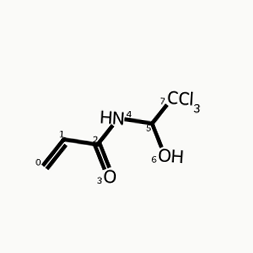 C=CC(=O)NC(O)C(Cl)(Cl)Cl